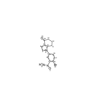 NC(=O)c1cc(-n2ccc3c2CCCC3=O)ccc1Br